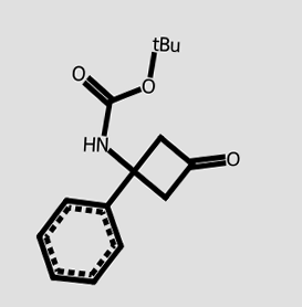 CC(C)(C)OC(=O)NC1(c2ccccc2)CC(=O)C1